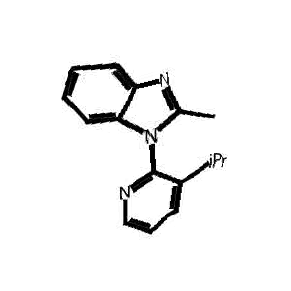 Cc1nc2ccccc2n1-c1ncccc1C(C)C